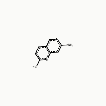 CC(C)(C)c1ccc2cnc(N)cc2n1